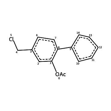 CC(=O)Oc1cc(CCl)ccc1-c1ccccc1